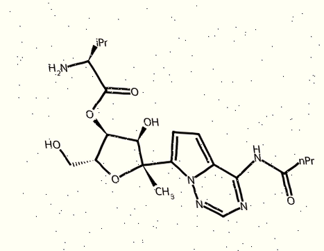 CCCC(=O)Nc1ncnn2c([C@]3(C)O[C@H](CO)[C@@H](OC(=O)[C@@H](N)C(C)C)[C@H]3O)ccc12